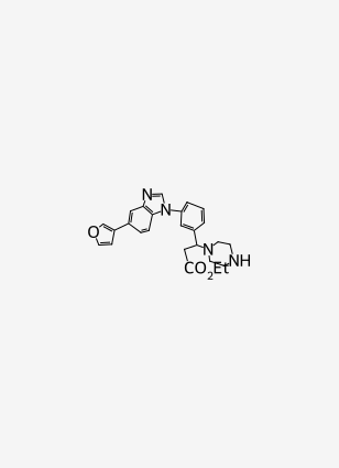 CCOC(=O)CC(c1cccc(-n2cnc3cc(-c4ccoc4)ccc32)c1)N1CCNCC1